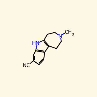 CN1CCc2[nH]c3cc(C#N)ccc3c2CC1